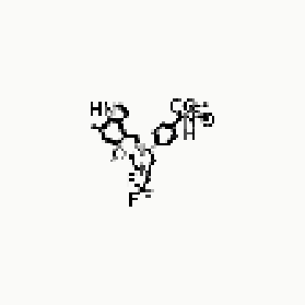 COc1cc(C)c2[nH]ccc2c1CN1CCN(CC(F)(F)F)C[C@H]1c1ccc(C(=O)NS(C)(=O)=O)cc1